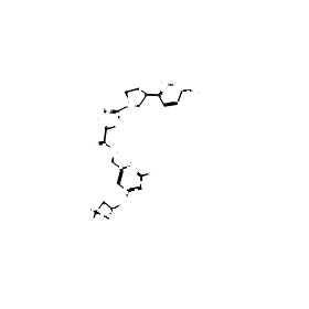 Cc1cc(OC2CC(F)(F)C2)cc(CNC(=O)c2nnc(N3CCC(c4ccc(NC=O)nn4)C3)s2)n1